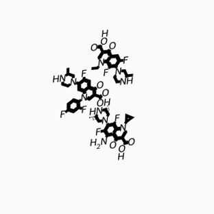 CC1CN(c2cc3c(cc2F)c(=O)c(C(=O)O)cn3-c2ccc(F)cc2F)CCN1.CCn1cc(C(=O)O)c(=O)c2cc(F)c(N3CCNC(C)C3)c(F)c21.C[C@@H]1CN(c2c(F)c(N)c3c(=O)c(C(=O)O)cn(C4CC4)c3c2F)C[C@H](C)N1